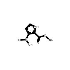 CC(C)(C)OC(=O)c1[nH]ccc1B(O)O